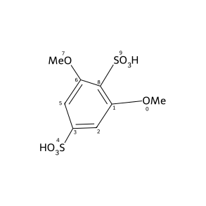 COc1cc(S(=O)(=O)O)cc(OC)c1S(=O)(=O)O